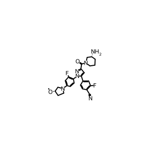 CO[C@H]1CCN(c2ccc(-n3nc(C(=O)N4CCC[C@@H](N)C4)cc3-c3ccc(C#N)c(F)c3)c(F)c2)C1